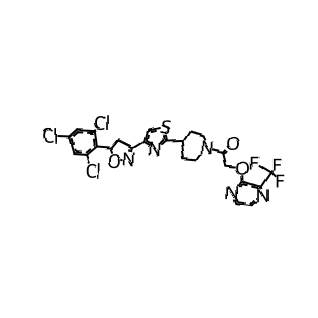 O=C(COc1nccnc1C(F)(F)F)N1CCC(c2nc(C3=NOC(c4c(Cl)cc(Cl)cc4Cl)C3)cs2)CC1